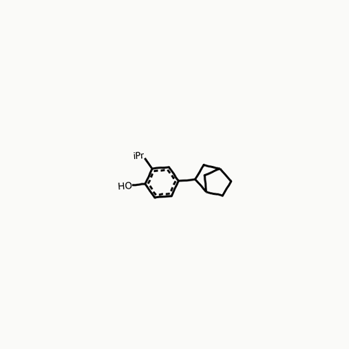 CC(C)c1cc(C2CC3CCC2C3)ccc1O